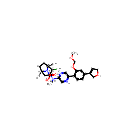 COCOc1cc(C2=CCOC2)ccc1-c1cnc(N(C)[C@H]2C[C@@H]3CC[C@H]([C@H]2F)N3C(=O)O)cn1